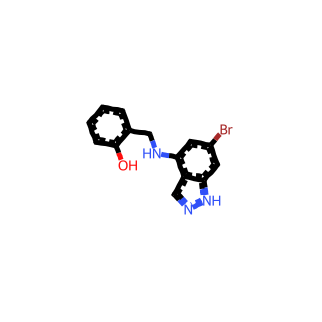 Oc1ccccc1CNc1cc(Br)cc2[nH]ncc12